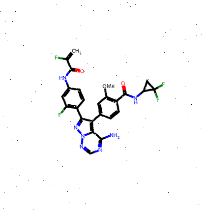 C=C(F)C(=O)Nc1ccc(-c2nn3ncnc(N)c3c2-c2ccc(C(=O)NC3CC3(F)F)c(OC)c2)c(F)c1